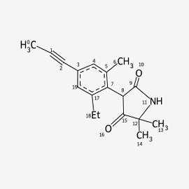 CC#Cc1cc(C)c(C2C(=O)NC(C)(C)C2=O)c(CC)c1